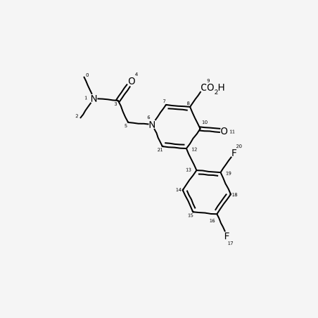 CN(C)C(=O)Cn1cc(C(=O)O)c(=O)c(-c2ccc(F)cc2F)c1